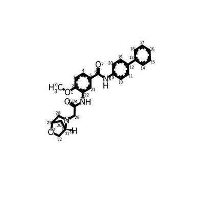 COc1ccc(C(=O)Nc2ccc(-c3ccccc3)cc2)cc1NC(=O)CN1CC2C[C@H]1CO2